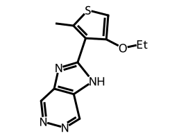 CCOc1csc(C)c1-c1nc2cnncc2[nH]1